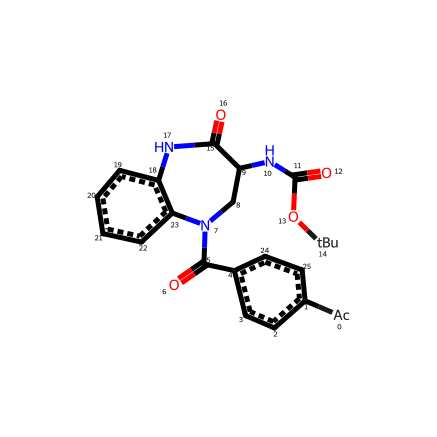 CC(=O)c1ccc(C(=O)N2CC(NC(=O)OC(C)(C)C)C(=O)Nc3ccccc32)cc1